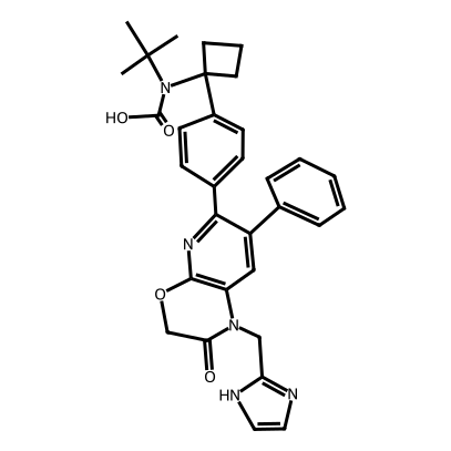 CC(C)(C)N(C(=O)O)C1(c2ccc(-c3nc4c(cc3-c3ccccc3)N(Cc3ncc[nH]3)C(=O)CO4)cc2)CCC1